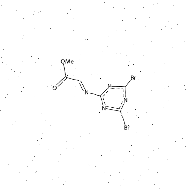 COC(=O)C=Nc1nc(Br)nc(Br)n1